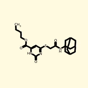 CCCCOC(=O)c1cc(SCC(=O)NC23CC4CC(CC(C4)C2)C3)nc(=O)[nH]1